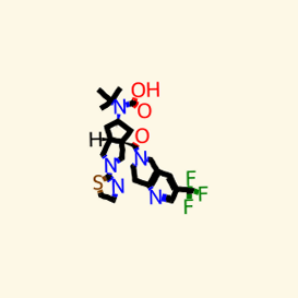 CC(C)(C)N(C(=O)O)[C@@H]1C[C@H]2CN(C3=NCCS3)C[C@@]2(C(=O)N2CCc3ncc(C(F)(F)F)cc3C2)C1